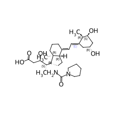 C[C@@H]1/C(=C/C=C2CCC[C@]3(C)[C@@H]([C@H](C)C(O)CC(=O)O)CC[C@@H]23)C[C@@H](O)C[C@@H]1O.NC(=O)N1CCCCC1